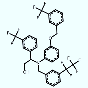 OCC(c1cccc(C(F)(F)F)c1)N(Cc1cccc(C(F)(F)C(F)(F)F)c1)c1cccc(OCc2cccc(C(F)(F)F)c2)c1